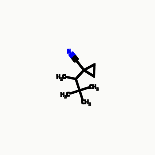 CC(C(C)(C)C)C1(C#N)CC1